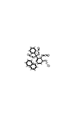 O=C=NC1C=CC=C(C(N=C=O)(N=C=O)c2ccccc2)C1N=C=O.c1ccc2ccccc2c1